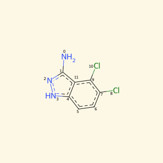 Nc1n[nH]c2ccc(Cl)c(Cl)c12